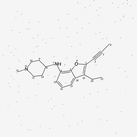 CC#Cc1oc2c(NC3CCN(C)CC3)cccc2c1CC